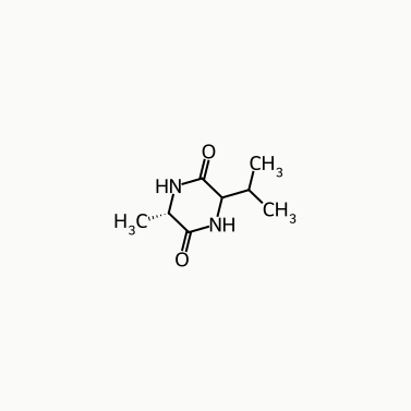 CC(C)C1NC(=O)[C@H](C)NC1=O